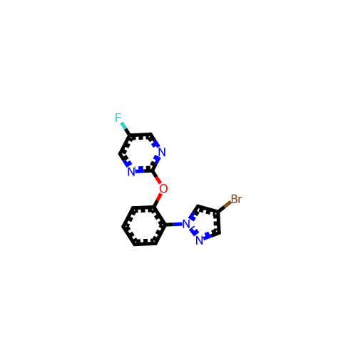 Fc1cnc(Oc2ccccc2-n2cc(Br)cn2)nc1